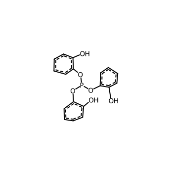 Oc1ccccc1OP(Oc1ccccc1O)Oc1ccccc1O